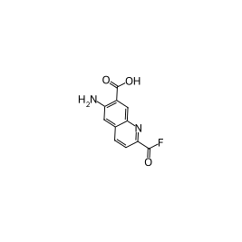 Nc1cc2ccc(C(=O)F)nc2cc1C(=O)O